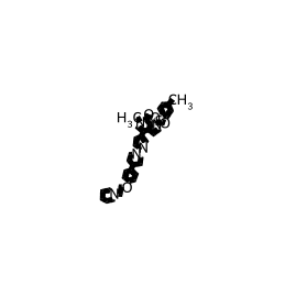 Cc1ccc(S(=O)(=O)n2ccc3c(-c4ccc(N5CCC(c6ccc(OCCN7CCCCC7)cc6)CC5)nc4)cn(C)c(=O)c32)cc1